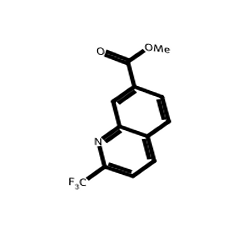 COC(=O)c1ccc2ccc(C(F)(F)F)nc2c1